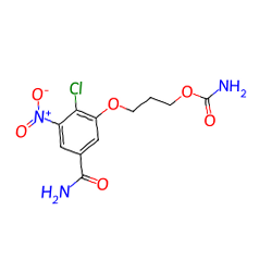 NC(=O)OCCCOc1cc(C(N)=O)cc([N+](=O)[O-])c1Cl